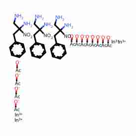 CC(=O)[O-].CC(=O)[O-].CC(=O)[O-].CC(=O)[O-].CC(=O)[O-].CC(=O)[O-].CC(=O)[O-].CC(=O)[O-].CC(=O)[O-].CC(=O)[O-].CC(=O)[O-].CC(=O)[O-].NCC(N)(Cc1ccccc1)[N+](=O)[O-].NCC(N)(Cc1ccccc1)[N+](=O)[O-].NCC(N)(Cc1ccccc1)[N+](=O)[O-].[In+3].[In+3].[In+3].[In+3]